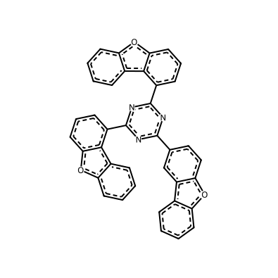 c1ccc2c(c1)oc1ccc(-c3nc(-c4cccc5oc6ccccc6c45)nc(-c4cccc5oc6ccccc6c45)n3)cc12